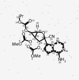 COC(=O)O[C@@H]1[C@@]2(OC(=O)OC)C(OC(=O)OC(C)C)[C@H]2O[C@@]1(C#N)c1ccc2c(N)ncnn12